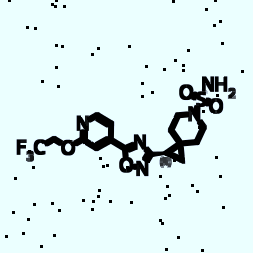 NS(=O)(=O)N1CCC2(CC1)C[C@H]2c1noc(-c2ccnc(OCC(F)(F)F)c2)n1